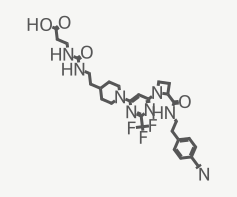 N#Cc1ccc(CCNC(=O)C2CCN2c2cc(N3CCC(CCNC(=O)NCCC(=O)O)CC3)nc(C(F)(F)F)n2)cc1